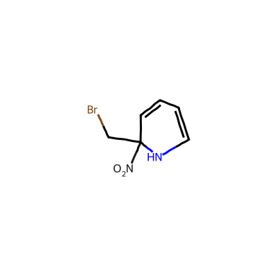 O=[N+]([O-])C1(CBr)C=CC=CN1